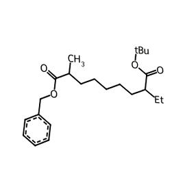 CCC(CCCCCC(C)C(=O)OCc1ccccc1)C(=O)OC(C)(C)C